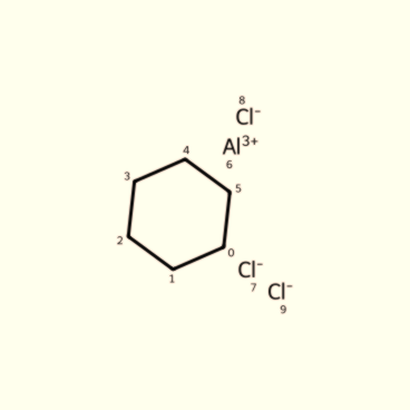 C1CCCCC1.[Al+3].[Cl-].[Cl-].[Cl-]